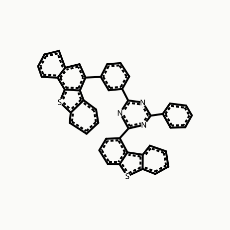 c1ccc(-c2nc(-c3cccc(-c4cc5ccccc5c5sc6ccccc6c45)c3)nc(-c3cccc4sc5ccccc5c34)n2)cc1